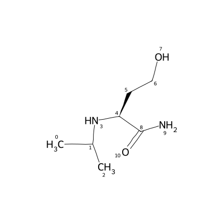 CC(C)N[C@@H](CCO)C(N)=O